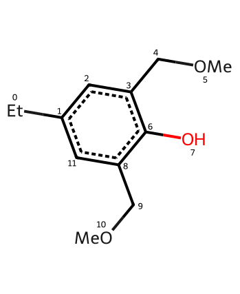 CCc1cc(COC)c(O)c(COC)c1